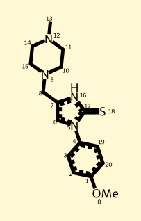 COc1ccc(-n2cc(CN3CCN(C)CC3)[nH]c2=S)cc1